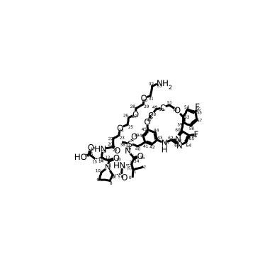 CC(C)[C@H](NC(=O)[C@@H]1CCCN1C(=O)[C@H](CC(=O)O)NC(=O)CCOCCOCCOCCN)C(=O)N=S(C)(=O)Cc1cc2cc(c1)OCCCCOc1cc(F)ccc1-c1nc(ncc1F)N2